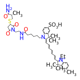 CC[N+]1=C(/C=C/C=C/C=C/C=C2/N(CCCCCC(=O)NCCN3C(=O)CC(SC[C@@H](C)C(N)=O)C3=O)c3ccc(S(=O)(=O)O)cc3C2(C)C)C(C)(C)c2cc(C)ccc21